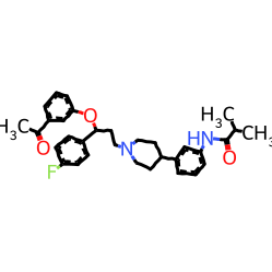 CC(=O)c1cccc(OC(CCN2CCC(c3cccc(NC(=O)C(C)C)c3)CC2)c2ccc(F)cc2)c1